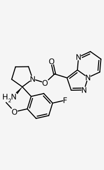 COc1ccc(F)cc1[C@]1(N)CCCN1OC(=O)c1cnn2cccnc12